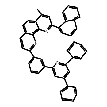 Cc1cc(-c2cccc3ccccc23)nc2c1ccc1ccc(-c3cccc(-c4cc(-c5ccccc5)cc(-c5ccccc5)n4)c3)nc12